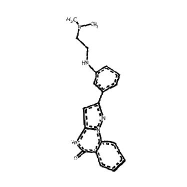 CN(C)CCNc1cccc(-c2cc3[nH]c(=O)c4ccccc4n3n2)c1